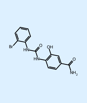 NC(=O)c1ccc(NC(=O)Nc2ccccc2Br)c(O)c1